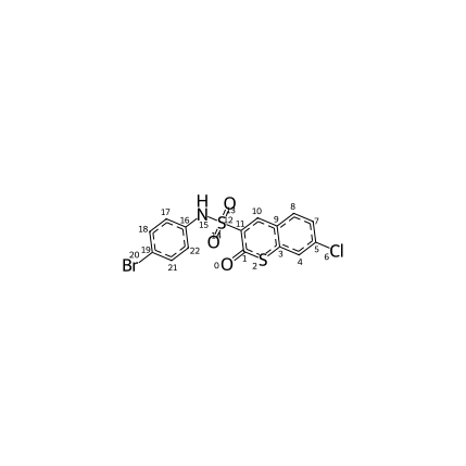 O=c1sc2cc(Cl)ccc2cc1S(=O)(=O)Nc1ccc(Br)cc1